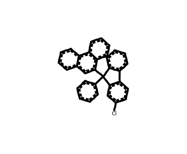 Clc1ccc2c(c1)C(c1ccccc1)(c1cc3ccccc3c3ccccc13)c1ccccc1-2